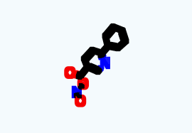 O=NOC(=O)c1ccc(-c2ccccc2)nc1